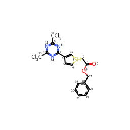 O=C(C[SH]1C=CC(c2nc(C(Cl)(Cl)Cl)nc(C(Cl)(Cl)Cl)n2)=C1)OCc1ccccc1